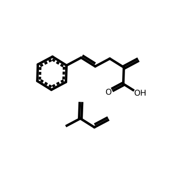 C=C(CC=Cc1ccccc1)C(=O)O.C=CC(=C)C